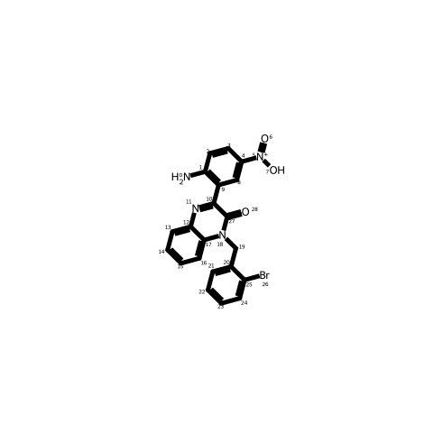 Nc1ccc([N+](=O)O)cc1-c1nc2ccccc2n(Cc2ccccc2Br)c1=O